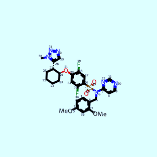 COc1ccc(CN(c2ccncn2)S(=O)(=O)c2cc(F)c(O[C@H]3CCCC[C@@H]3c3cnnn3C)cc2F)c(OC)c1